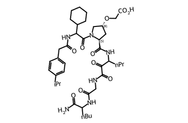 CCCCC(NC(=O)CNC(=O)C(=O)C(CCC)NC(=O)[C@@H]1C[C@@H](OCC(=O)O)CN1C(=O)C(NC(=O)Cc1ccc(C(C)C)cc1)C1CCCCC1)C(N)=O